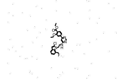 CCOC(=O)c1ccc(-c2cc(NCCn3c(Cl)cc4cccc(CF)c43)ncn2)cc1OCC